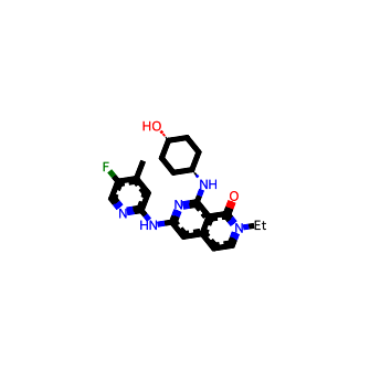 CCn1ccc2cc(Nc3cc(C)c(F)cn3)nc(N[C@H]3CC[C@@H](O)CC3)c2c1=O